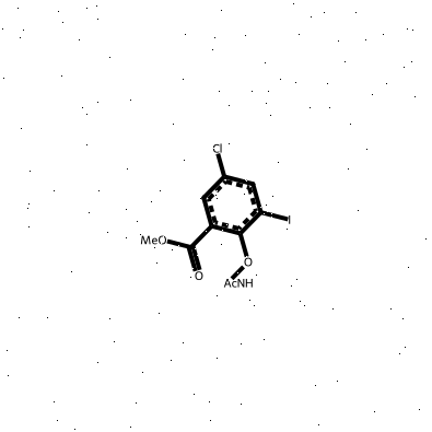 COC(=O)c1cc(Cl)cc(I)c1ONC(C)=O